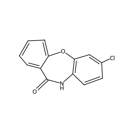 O=C1Nc2ccc(Cl)cc2Oc2ccccc21